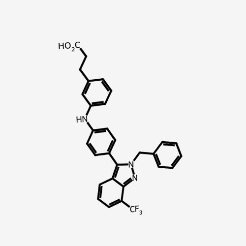 O=C(O)CCc1cccc(Nc2ccc(-c3c4cccc(C(F)(F)F)c4nn3Cc3ccccc3)cc2)c1